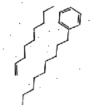 C=CCCCCCCC.CCCCCCCCCc1ccccc1